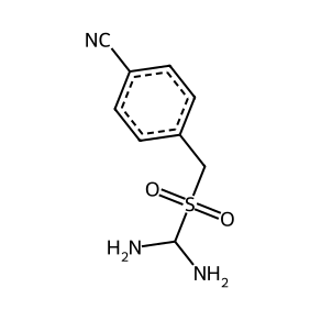 N#Cc1ccc(CS(=O)(=O)C(N)N)cc1